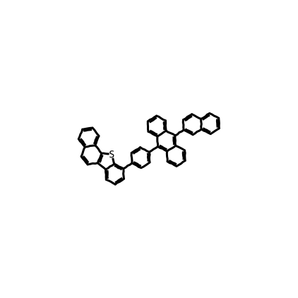 c1ccc2cc(-c3c4ccccc4c(-c4ccc(-c5cccc6c5sc5c7ccccc7ccc65)cc4)c4ccccc34)ccc2c1